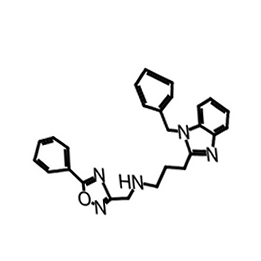 c1ccc(Cn2c(CCCNCc3noc(-c4ccccc4)n3)nc3ccccc32)cc1